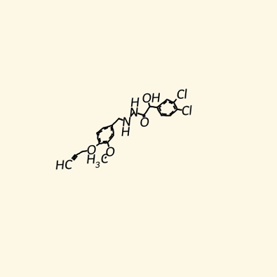 C#CCOc1ccc(CNNC(=O)C(O)c2ccc(Cl)c(Cl)c2)cc1OC